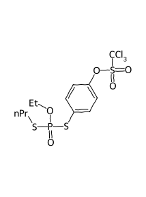 CCCSP(=O)(OCC)Sc1ccc(OS(=O)(=O)C(Cl)(Cl)Cl)cc1